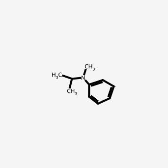 CC(C)N(C)c1c[c]ccc1